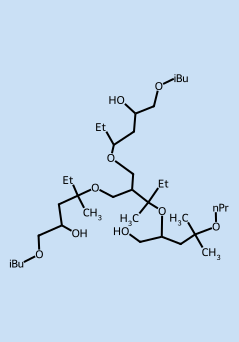 CCCOC(C)(C)CC(CO)OC(C)(CC)C(COC(CC)CC(O)COC(C)CC)COC(C)(CC)CC(O)COC(C)CC